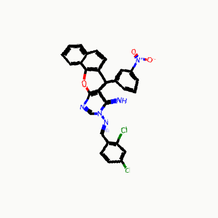 N=c1c2c(ncn1/N=C/c1ccc(Cl)cc1Cl)Oc1c(ccc3ccccc13)C2c1cccc([N+](=O)[O-])c1